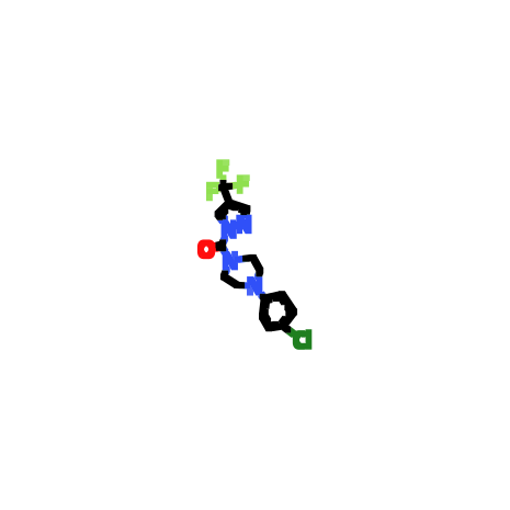 O=C(N1CCN(c2ccc(Cl)cc2)CC1)n1cc(C(F)(F)F)cn1